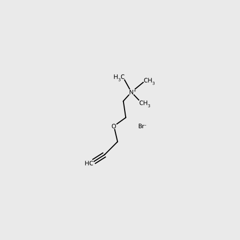 C#CCOCC[N+](C)(C)C.[Br-]